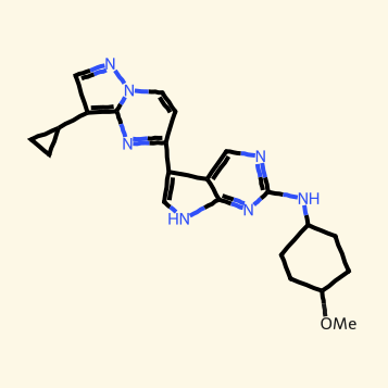 COC1CCC(Nc2ncc3c(-c4ccn5ncc(C6CC6)c5n4)c[nH]c3n2)CC1